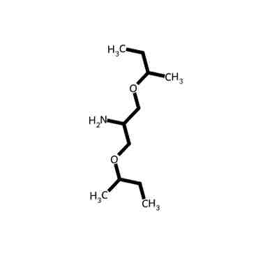 CCC(C)OCC(N)COC(C)CC